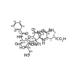 CCC(S)(C(=O)NC(CCC(=O)O)C(N)=O)C(O[C@@H]([C@H](O)[C@H](O)CO)[C@H](C=O)NC(=O)c1ccccc1)C(N)=O